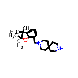 CC1(C)Oc2c(CN3CCC4(CCNCC4)CC3)cccc2C1(C)C